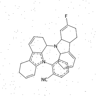 N#Cc1ccccc1-n1c2c(c3c1C(N1C4CC=CC=C4C4CCC(F)=CC41)CC=C3)CCC=C2